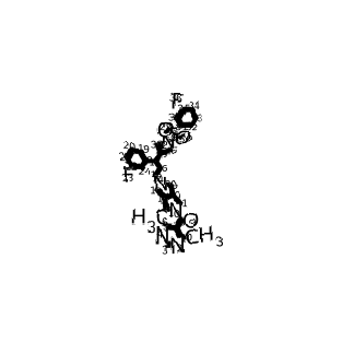 Cc1ncnc(C)c1C(=O)N1CC2=CN(CCC(c3cccc(F)c3)C3CN(S(=O)(=O)c4cccc(F)c4)C3)CC2C1